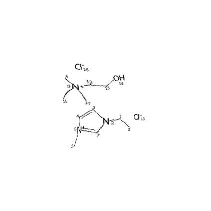 CCn1cc[n+](C)c1.C[N+](C)(C)CCO.[Cl-].[Cl-]